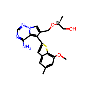 COc1cc(C)cc2cc(-c3c(CO[C@@H](C)CO)cn4ncnc(N)c34)sc12